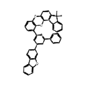 CC1(C)c2ccccc2-c2c1ccc1c2Oc2c(cccc2-c2cc(-c3ccc4c(c3)oc3ccccc34)cc(-c3ccccc3)n2)O1